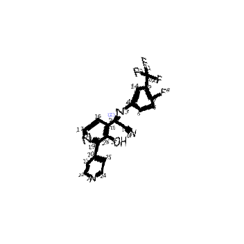 N#C/C(=N\c1ccc(F)c(C(F)(F)F)c1)c1ccnc(-c2ccncc2)c1O